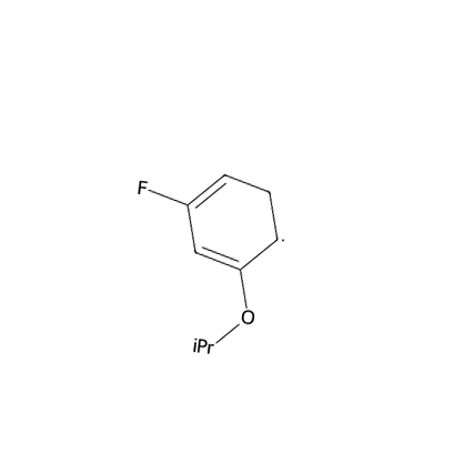 CC(C)OC1=CC(F)=CC[CH]1